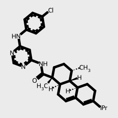 CC(C)C1=CC2=CC[C@@H]3[C@H]([C@@H](C)CC[C@@]3(C)C(=O)Nc3cc(Nc4ccc(Cl)cc4)ncn3)[C@H]2CC1